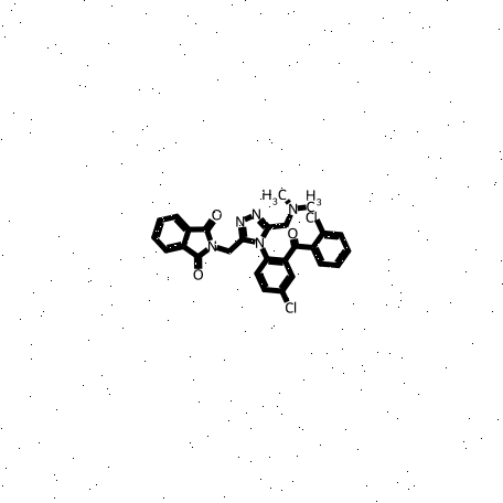 CN(C)Cc1nnc(CN2C(=O)c3ccccc3C2=O)n1-c1ccc(Cl)cc1C(=O)c1ccccc1Cl